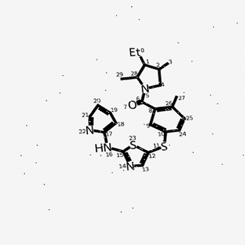 CCC1C(C)CN(C(=O)c2cc(Sc3cnc(Nc4ccccn4)s3)ccc2C)C1C